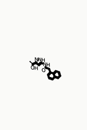 C[C@H](O)c1cc(NC(=O)Cc2cccc3ccccc23)[nH]n1